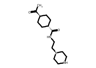 CC(=O)[C@H]1CC[C@H](C(=O)NCCN2CCNCC2)CC1